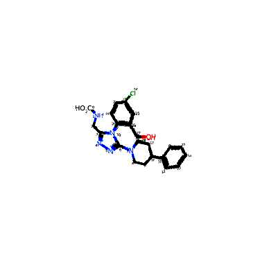 O=C(O)NCc1nnc(N2CCC(c3ccccc3)CC2)n1-c1ccc(Cl)cc1CO